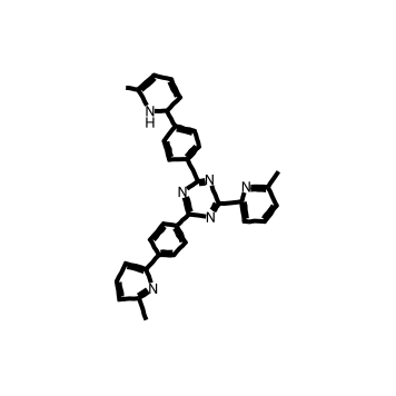 CC1=CC=CC(c2ccc(-c3nc(-c4ccc(-c5cccc(C)n5)cc4)nc(-c4cccc(C)n4)n3)cc2)N1